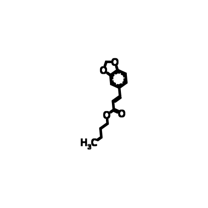 CCCCOC(=O)C=Cc1ccc2c(c1)OCO2